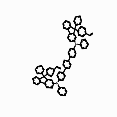 C=Cc1ccc(C2(c3ccccc3)c3ccccc3-c3ccc(N(c4ccccc4)c4ccc(-c5ccc(-c6ccc(N(c7ccccc7)c7ccc8c(c7)C(c7ccccc7)(c7ccc(C=C)cc7)c7ccccc7-8)cc6)cc5)cc4)cc32)cc1